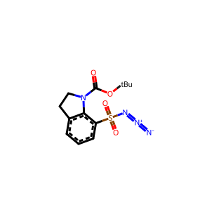 CC(C)(C)OC(=O)N1CCc2cccc(S(=O)(=O)N=[N+]=[N-])c21